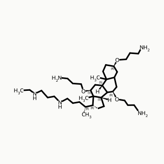 CCNCCCNCCC[C@@H](C)[C@H]1CC[C@H]2C3[C@H](OCCCN)CC4C[C@H](OCCCN)CCC4(C)[C@H]3C[C@H](OCCCN)C12C